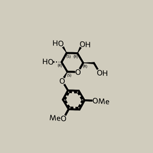 COc1cc(OC)cc(O[C@@H]2O[C@H](CO)[C@H](O)[C@H](O)[C@H]2O)c1